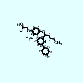 CCCCC(Oc1ccc(OCC(=O)O)c(C)c1)c1cccc(-c2ccc(F)cc2)n1